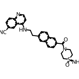 N#Cc1ccc2nccc(NCCc3ccc4cc(C(=O)N5CCS(=N)(=O)CC5)ccc4c3)c2c1